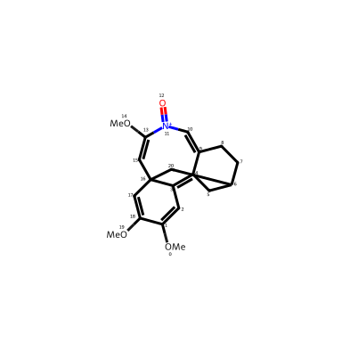 COC1=CC2=C3CC4CC/C3=C/[N+](=O)/C(OC)=C\C2(C=C1OC)C4